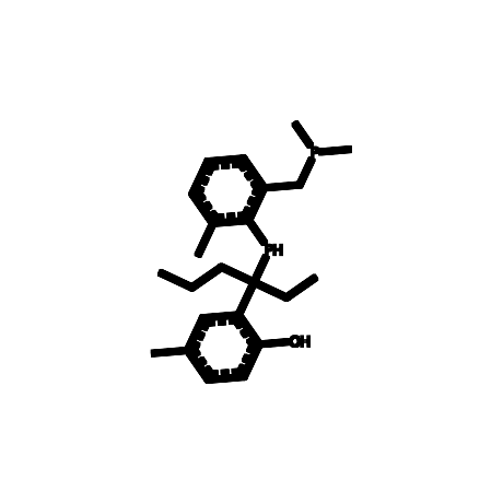 CCCC(CC)(Pc1c(C)cccc1CP(C)C)c1cc(C)ccc1O